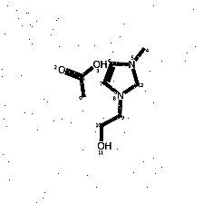 CC(=O)O.CN1C=CN(CCO)C1